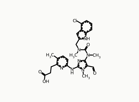 Cc1ccc(Nc2nc(N(C)C(=O)N(C)Cc3cc4c(Cl)cccc4[nH]3)c(C=O)n2C)nc1CCC(=O)O